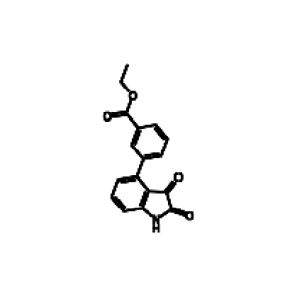 CCOC(=O)c1cccc(-c2cccc3c2C(=O)C(=O)N3)c1